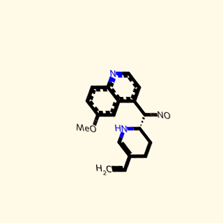 C=CC1=CN[C@H](C(N=O)c2ccnc3ccc(OC)cc23)CC1